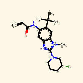 BC(B)(B)c1cc2c(cc1NC(=O)C=C)nc(N1CCC[C@@H](F)C1)n2C